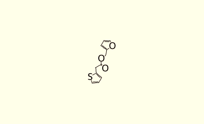 O=C(Cc1cccs1)OCc1ccco1